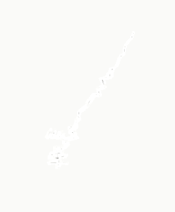 CCCCCCCCCCCCCCCCCCSCC(O)CO[Si](C)(C)C(C)(C)C